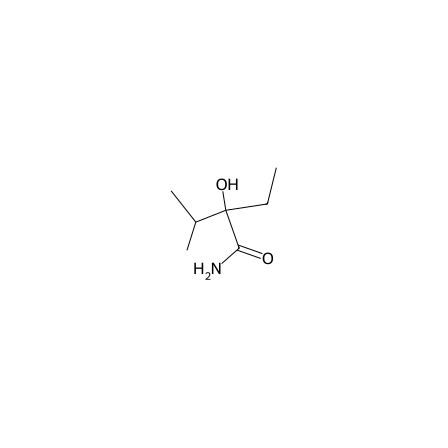 CCC(O)(C(N)=O)C(C)C